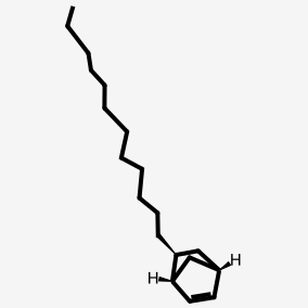 CCCCCCCCCCCC[C@H]1C[C@@H]2C=C[C@H]1C2